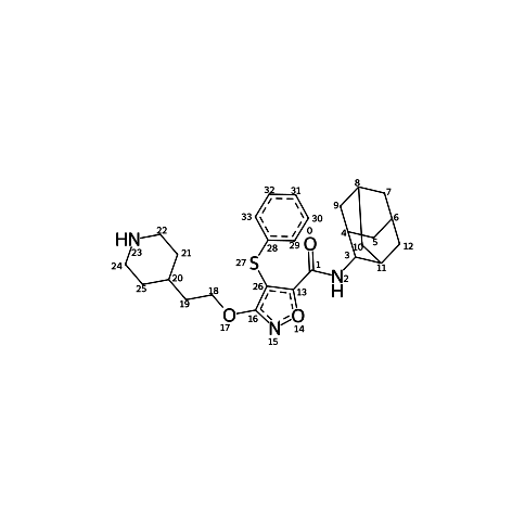 O=C(NC1C2CC3CC(C2)CC1C3)c1onc(OCCC2CCNCC2)c1Sc1ccccc1